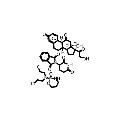 C[C@]12C=CC(=O)C=C1CC[C@@H]1[C@@H]2C(=O)C[C@@]2(C)[C@H]1CC[C@]2(O)C(=O)CO.O=C1CCC(N2C(=O)c3ccccc3C2=O)C(=O)N1.O=P1(N(CCCl)CCCl)NCCCO1